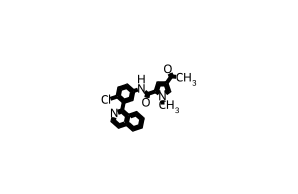 CC(=O)c1cc(C(=O)Nc2ccc(Cl)c(-c3nccc4ccccc34)c2)n(C)c1